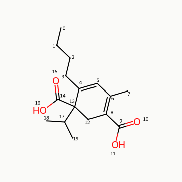 CCCCC1=CC(C)=C(C(=O)O)CC1(C(=O)O)C(C)C